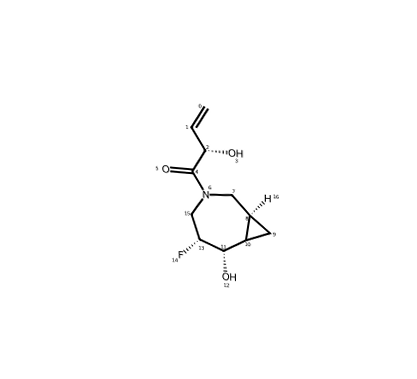 C=C[C@H](O)C(=O)N1C[C@H]2CC2[C@H](O)[C@H](F)C1